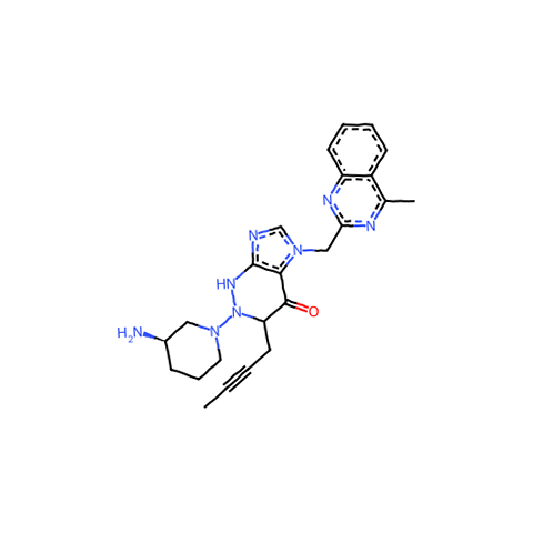 CC#CCC1C(=O)c2c(ncn2Cc2nc(C)c3ccccc3n2)NN1N1CCC[C@@H](N)C1